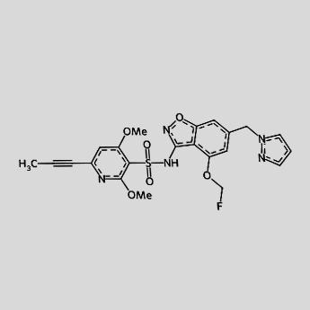 CC#Cc1cc(OC)c(S(=O)(=O)Nc2noc3cc(Cn4cccn4)cc(OCF)c23)c(OC)n1